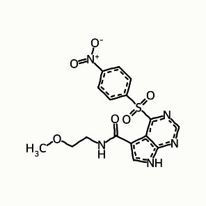 COCCNC(=O)c1c[nH]c2ncnc(S(=O)(=O)c3ccc([N+](=O)[O-])cc3)c12